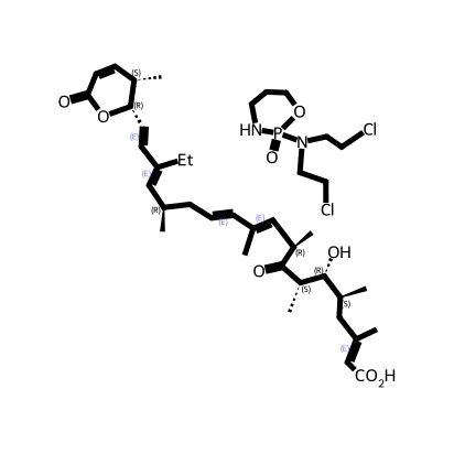 CCC(/C=C/[C@@H]1OC(=O)C=C[C@@H]1C)=C\[C@H](C)C/C=C/C(C)=C/[C@@H](C)C(=O)[C@@H](C)[C@H](O)[C@@H](C)C/C(C)=C/C(=O)O.O=P1(N(CCCl)CCCl)NCCCO1